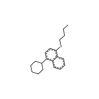 CCCCOc1ccc(C2CCCCC2)c2ccccc12